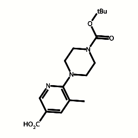 Cc1cc(C(=O)O)cnc1N1CCN(C(=O)OC(C)(C)C)CC1